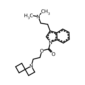 CN(C)CCc1cn(C(=O)OCCN2CCC23CCC3)c2ccccc12